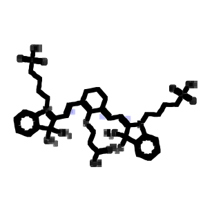 CC1(C)C(/C=C/C2=C(SCCC(=O)O)C(=C/C=C3/N(CCCCS(=O)(=O)O)c4ccccc4C3(C)C)/CCC2)=[N+](CCCCS(=O)(=O)O)c2ccccc21